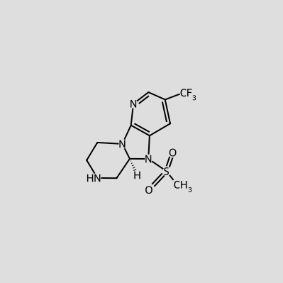 CS(=O)(=O)N1c2cc(C(F)(F)F)cnc2N2CCNC[C@@H]21